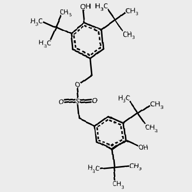 CC(C)(C)c1cc(COS(=O)(=O)Cc2cc(C(C)(C)C)c(O)c(C(C)(C)C)c2)cc(C(C)(C)C)c1O